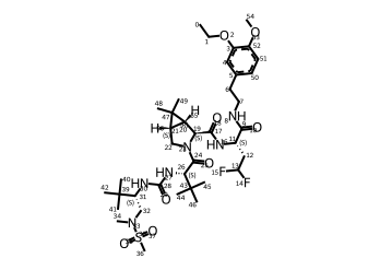 CCOc1cc(CCNC(=O)[C@H](CC(F)F)NC(=O)[C@@H]2[C@@H]3[C@H](CN2C(=O)[C@@H](NC(=O)N[C@H](CN(C)S(C)(=O)=O)C(C)(C)C)C(C)(C)C)C3(C)C)ccc1OC